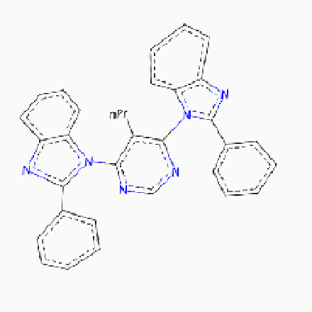 CCCc1c(-n2c(-c3ccccc3)nc3ccccc32)ncnc1-n1c(-c2ccccc2)nc2ccccc21